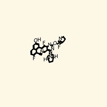 C#Cc1c(F)ccc2cc(O)cc(-c3ncc4c(N5C[C@H]6CC[C@@H](C5)N6)nc(OCC5C6CCN5C[C@@H]6F)nc4c3F)c12